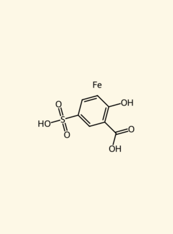 O=C(O)c1cc(S(=O)(=O)O)ccc1O.[Fe]